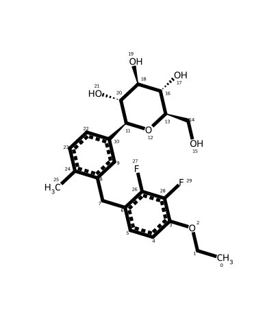 CCOc1ccc(Cc2cc([C@@H]3O[C@H](CO)[C@@H](O)[C@H](O)[C@H]3O)ccc2C)c(F)c1F